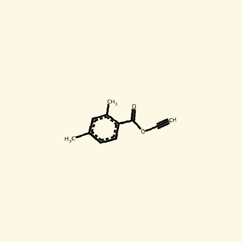 C#COC(=O)c1ccc(C)cc1C